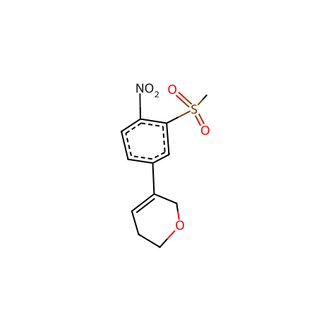 CS(=O)(=O)c1cc(C2=CCCOC2)ccc1[N+](=O)[O-]